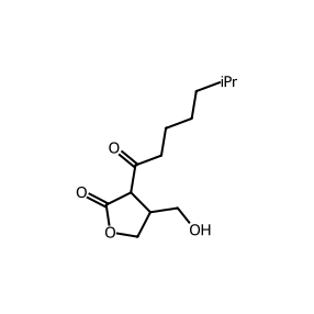 CC(C)CCCCC(=O)C1C(=O)OCC1CO